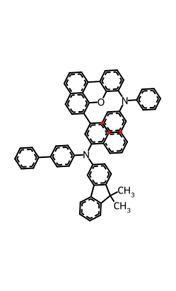 CC1(C)c2ccccc2-c2cc(N(c3ccc(-c4ccccc4)cc3)c3cc(-c4ccc5cccc6c5c4Oc4c-6cccc4N(c4ccccc4)c4ccccc4)cc4ccccc34)ccc21